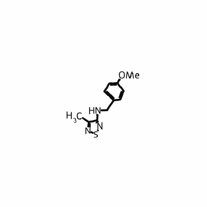 COc1ccc(CNc2nsnc2C)cc1